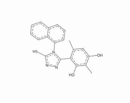 Cc1cc(O)c(C)c(O)c1-c1nnc(S)n1-c1cccc2ccccc12